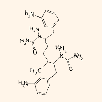 CC(CCC(Cc1cccc(N)c1)N(N)C(N)=O)C(Cc1cccc(N)c1)N(N)C(N)=O